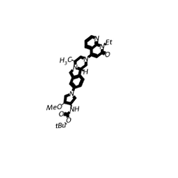 CCn1c(=O)cc(N2C[C@@H](C)N3Cc4cc(N5C[C@@H](NC(=O)OC(C)(C)C)[C@H](OC)C5)ccc4[C@H]3C2)c2cccnc21